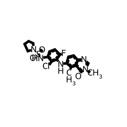 Cc1c(Nc2c(F)ccc(NS(=O)(=O)N3CCCC3)c2Cl)ccc2ncn(C)c(=O)c12